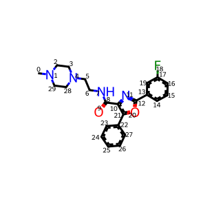 CN1CCN(CCNC(=O)c2nc(-c3cccc(F)c3)oc2-c2ccccc2)CC1